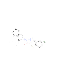 CCOC(=O)C1(NC(=O)C2Sc3ccc(Cl)cc3C2C)Cc2ccccc2C1